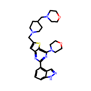 c1cc(-c2nc(N3CCOCC3)c3sc(CN4CCC(CN5CCOCC5)CC4)cc3n2)c2cn[nH]c2c1